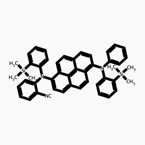 [C-]#[N+]c1ccccc1N(c1ccccc1[Si](C)(C)C)c1ccc2ccc3c(N(c4ccccc4)c4ccccc4[Si](C)(C)C)ccc4ccc1c2c43